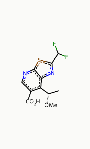 CO[C@@H](C)c1c(C(=O)O)cnc2sc(C(F)F)nc12